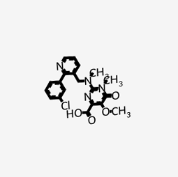 COc1c(C(=O)O)nc(N(C)Cc2cccnc2-c2cccc(Cl)c2)n(C)c1=O